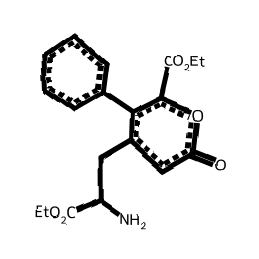 CCOC(=O)c1oc(=O)cc(CC(N)C(=O)OCC)c1-c1ccccc1